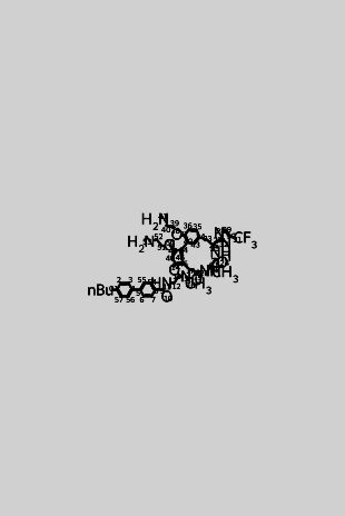 CCCCc1ccc(-c2ccc(C(=O)NCC(=O)N(C)C3C(=O)N[C@@H](C)C(=O)NC(c4ncc(C(F)(F)F)[nH]4)Cc4ccc(OCCN)c(c4)-c4cc3ccc4OCCN)cc2)cc1